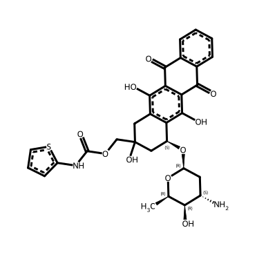 C[C@H]1O[C@@H](O[C@H]2CC(O)(COC(=O)Nc3cccs3)Cc3c(O)c4c(c(O)c32)C(=O)c2ccccc2C4=O)C[C@H](N)[C@H]1O